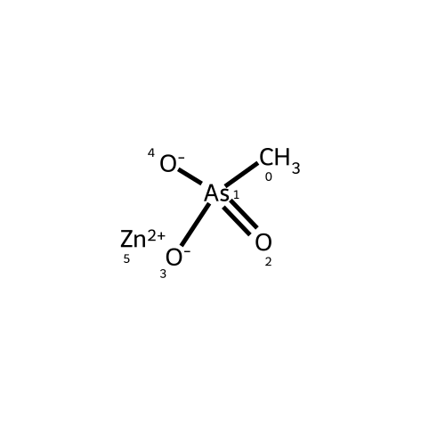 C[As](=O)([O-])[O-].[Zn+2]